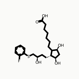 O=C(O)CCCCCCC1[C@@H](CC[C@@H](O)CSc2ccccc2F)[C@H](O)C[C@@H]1O